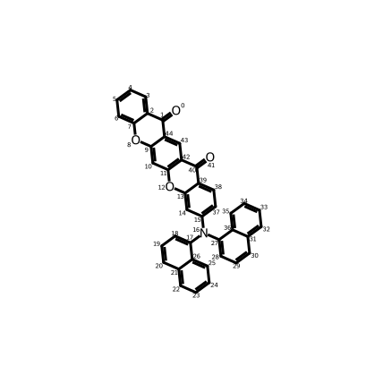 O=c1c2ccccc2oc2cc3oc4cc(N(c5cccc6ccccc56)c5cccc6ccccc56)ccc4c(=O)c3cc12